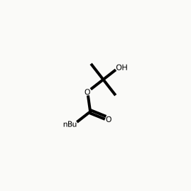 CCCCC(=O)OC(C)(C)O